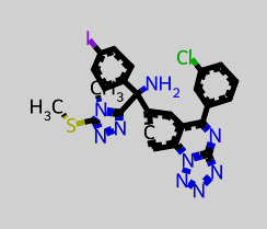 CSc1nnc(C(N)(c2ccc(I)cc2)c2ccc3c(c2)c(-c2cccc(Cl)c2)nc2nnnn23)n1C